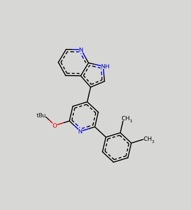 Cc1cccc(-c2cc(-c3c[nH]c4ncccc34)cc(OC(C)(C)C)n2)c1C